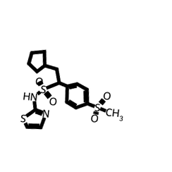 CS(=O)(=O)c1ccc(C(CC2CCCC2)S(=O)(=O)Nc2nccs2)cc1